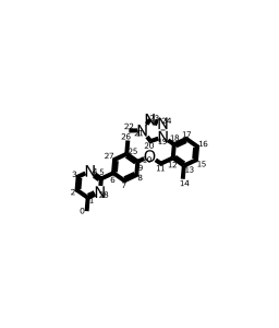 Cc1ccnc(-c2ccc(OCc3c(C)cccc3N3CN(C)N=N3)c(C)c2)n1